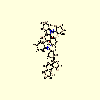 c1ccc(N(c2ccc(-c3cccc4c3ccc3ccccc34)cc2)c2ccccc2-c2ccc3c(c2)c2ccccc2n3-c2ccccc2)cc1